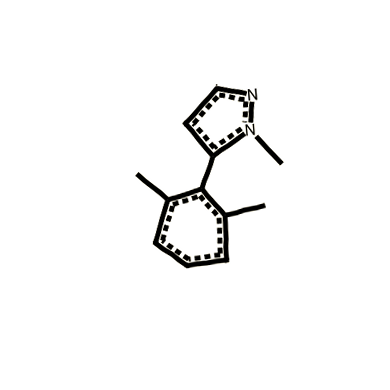 Cc1cccc(C)c1-c1c[c]nn1C